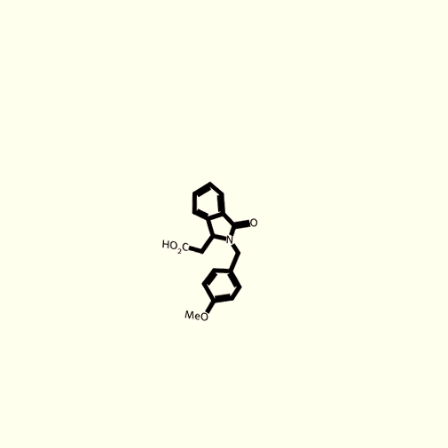 COc1ccc(CN2C(=O)c3ccccc3C2CC(=O)O)cc1